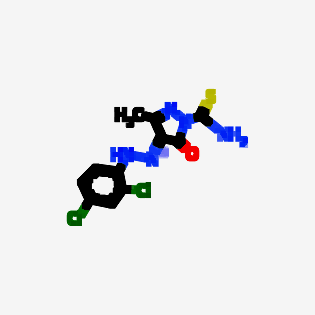 CC1=NN(C(N)=S)C(=O)/C1=N/Nc1ccc(Cl)cc1Cl